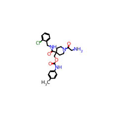 Cc1ccc(NC(=O)OCC2(C(=O)NCc3ccccc3Cl)CCN(C(=O)CN)CC2)cc1